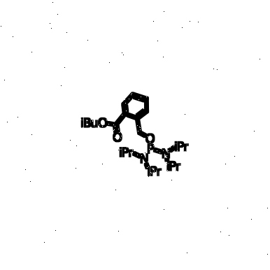 CC(C)COC(=O)c1ccccc1COP(N(C(C)C)C(C)C)N(C(C)C)C(C)C